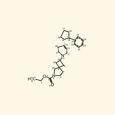 CCOC(=O)N1CCC2(CC(N3CC=C([C@@H]4CCCN4c4ccccc4)CC3)C2)C1